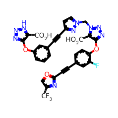 O=C(O)c1[nH]nnc1Oc1cccc(C#Cc2ccn(Cn3nnc(Oc4ccc(C#Cc5nc(C(F)(F)F)co5)cc4F)c3C(=O)O)n2)c1